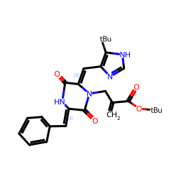 C=C(Cn1c(=O)/c(=C/c2ccccc2)[nH]c(=O)/c1=C/c1nc[nH]c1C(C)(C)C)C(=O)OC(C)(C)C